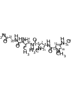 Cc1c(NC(=O)c2cc(NC(=O)c3cc(NC=O)cn3C)cn2C)c[nH]c1C(=O)NCCC(N)=O